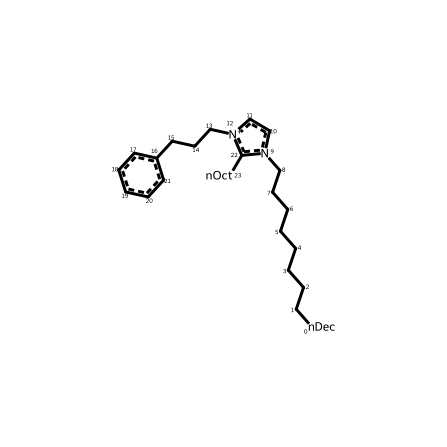 CCCCCCCCCCCCCCCCCCn1cc[n+](CCCc2ccccc2)c1CCCCCCCC